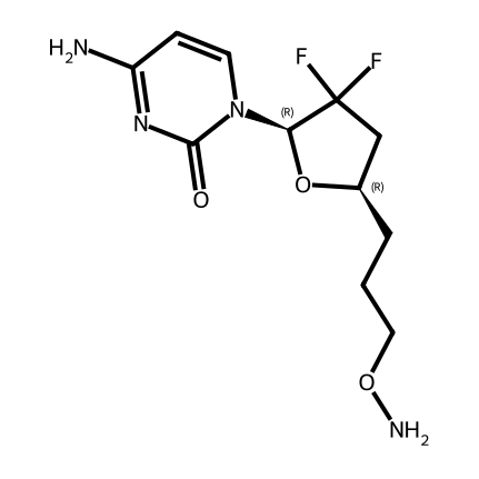 NOCCC[C@@H]1CC(F)(F)[C@H](n2ccc(N)nc2=O)O1